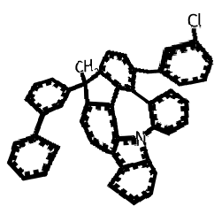 CC1(c2cccc(-c3ccccc3)c2)c2ccc(-c3cccc(Cl)c3)c3c2-c2c1ccc1c4ccccc4n(c21)-c1ccccc1-3